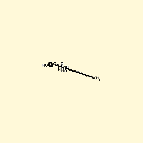 CCCCCCCCCCCCCCCCCC(=O)NNC(=O)NCCOc1ccc(O)cc1